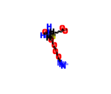 COC(=O)CCCC[C@@H]1S[C@@H](OCCOCCOCCOCCN=[N+]=[N-])[C@@H]2NC(=O)N[C@@H]21